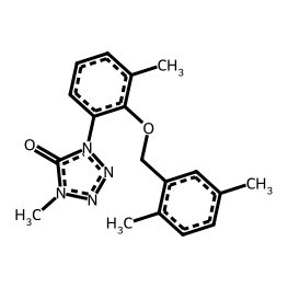 Cc1ccc(C)c(COc2c(C)cccc2-n2nnn(C)c2=O)c1